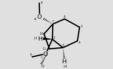 CO[C@H]1[C@H]2CCC[C@]1(OC)C[C@H]2C